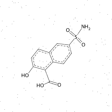 NS(=O)(=O)c1ccc2c(C(=O)O)c(O)ccc2c1